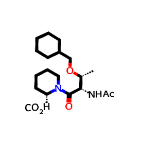 CC(=O)N[C@H](C(=O)N1CCCC[C@H]1C(=O)O)[C@@H](C)OCC1CCCCC1